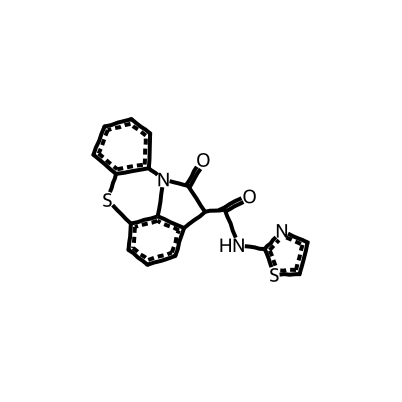 O=C(Nc1nccs1)C1C(=O)N2c3ccccc3Sc3cccc1c32